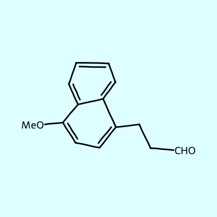 COc1ccc(CCC=O)c2ccccc12